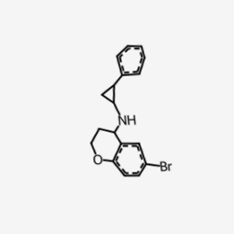 Brc1ccc2c(c1)C(NC1CC1c1ccccc1)CCO2